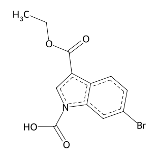 CCOC(=O)c1cn(C(=O)O)c2cc(Br)ccc12